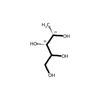 C[C@H](O)[C@@H](O)C(O)CO